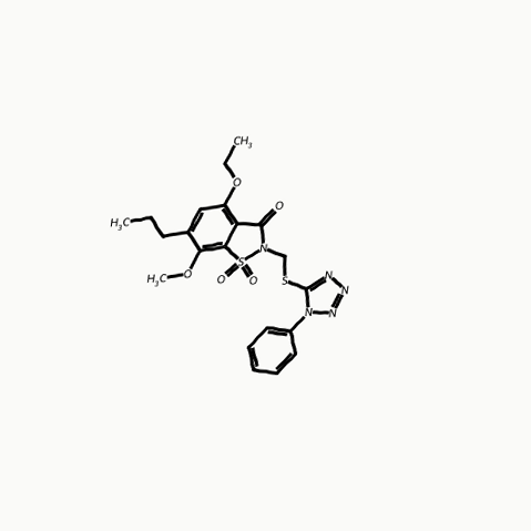 CCCc1cc(OCC)c2c(c1OC)S(=O)(=O)N(CSc1nnnn1-c1ccccc1)C2=O